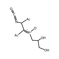 CC(=O)/C(C(N=C=O)C(C)=O)=[P+](/[O-])CC(O)CO